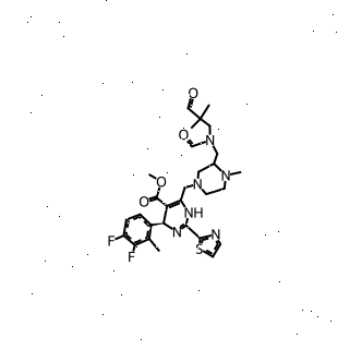 COC(=O)C1=C(CN2CCN(C)C(CN(C=O)CC(C)(C)C=O)C2)NC(c2nccs2)=N[C@H]1c1ccc(F)c(F)c1C